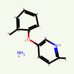 Cc1ccc(Oc2ccccc2C)cn1.N